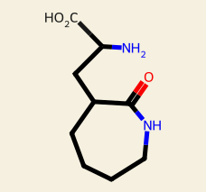 NC(CC1CCCCNC1=O)C(=O)O